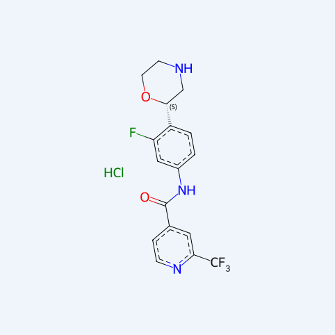 Cl.O=C(Nc1ccc([C@H]2CNCCO2)c(F)c1)c1ccnc(C(F)(F)F)c1